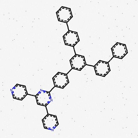 c1ccc(-c2ccc(-c3cc(-c4ccc(-c5nc(-c6ccncc6)cc(-c6ccncc6)n5)cc4)cc(-c4cccc(-c5ccccc5)c4)c3)cc2)cc1